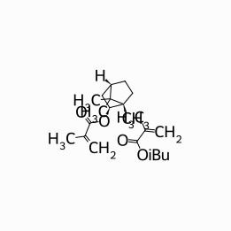 C=C(C)C(=O)OCC(C)C.C=C(C)C(=O)O[C@H]1C[C@@H]2CC[C@@]1(C)C2(C)C